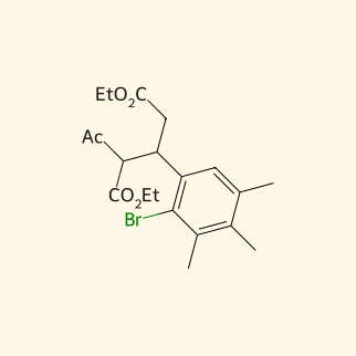 CCOC(=O)CC(c1cc(C)c(C)c(C)c1Br)C(C(C)=O)C(=O)OCC